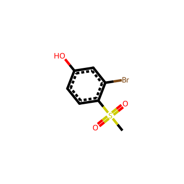 CS(=O)(=O)c1ccc(O)cc1Br